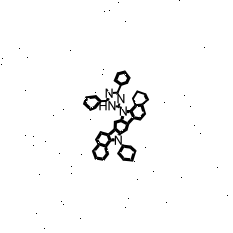 C1=Cc2ccc3c4cc5c(cc4n(C4N=C(c6ccccc6)N=C(c6ccccc6)N4)c3c2CC1)c1ccc2ccccc2c1n5-c1ccccc1